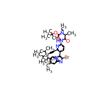 Cc1ccn2c(-c3ccc(NC(=O)C(C)N(C)C(=O)OC(C)(C)C)nc3C#C[Si](C(C)C)(C(C)C)C(C)C)c(Br)nc2c1